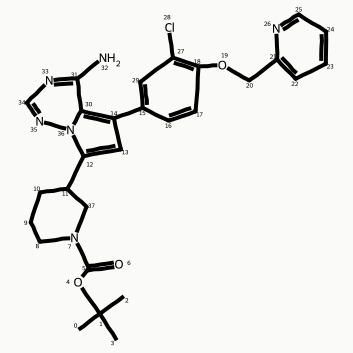 CC(C)(C)OC(=O)N1CCCC(c2cc(-c3ccc(OCc4ccccn4)c(Cl)c3)c3c(N)ncnn23)C1